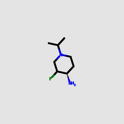 CC(C)N1CC[C@H](N)C(F)C1